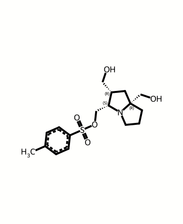 Cc1ccc(S(=O)(=O)OC[C@@H]2[C@H](CO)C[C@@]3(CO)CCCN23)cc1